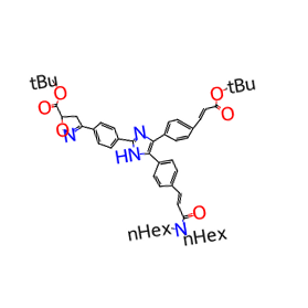 CCCCCCN(CCCCCC)C(=O)/C=C/c1ccc(-c2[nH]c(-c3ccc(C4=NOC(C(=O)OC(C)(C)C)C4)cc3)nc2-c2ccc(/C=C/C(=O)OC(C)(C)C)cc2)cc1